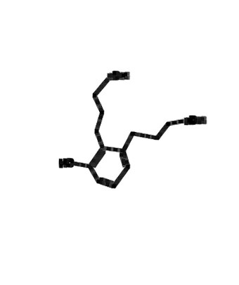 CCCCCCCCCCCCCc1cccc(O)c1CCCCCCCCCCCCC